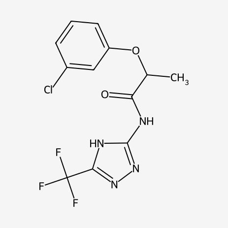 CC(Oc1cccc(Cl)c1)C(=O)Nc1nnc(C(F)(F)F)[nH]1